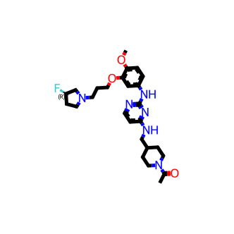 COc1ccc(Nc2nccc(NCC3CCN(C(C)=O)CC3)n2)cc1OCCCN1CC[C@@H](F)C1